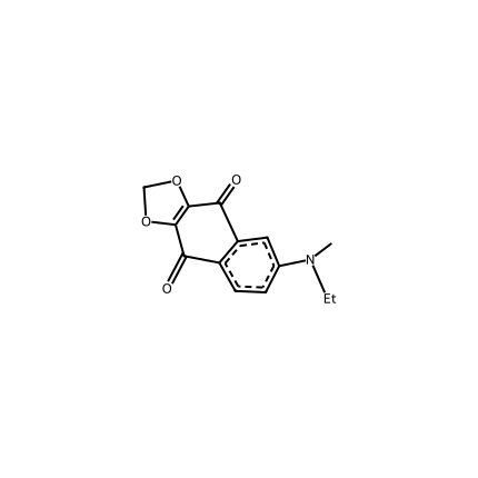 CCN(C)c1ccc2c(c1)C(=O)C1=C(OCO1)C2=O